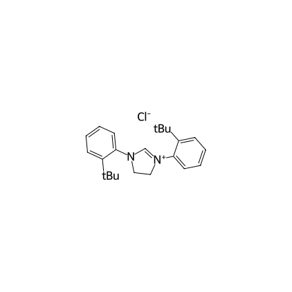 CC(C)(C)c1ccccc1N1C=[N+](c2ccccc2C(C)(C)C)CC1.[Cl-]